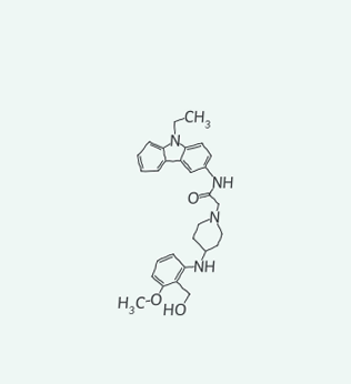 CCn1c2ccccc2c2cc(NC(=O)CN3CCC(Nc4cccc(OC)c4CO)CC3)ccc21